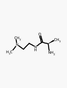 C[C@@H](N)C(=O)NCCN(C)C